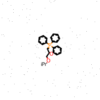 CC(C)OCC(=O)C=P(c1ccccc1)(c1ccccc1)c1ccccc1